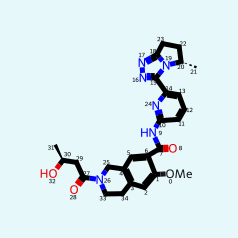 COc1cc2c(cc1C(=O)Nc1cccc(-c3nnc4n3[C@@H](C)CC4)n1)CN(C(=O)C[C@H](C)O)CC2